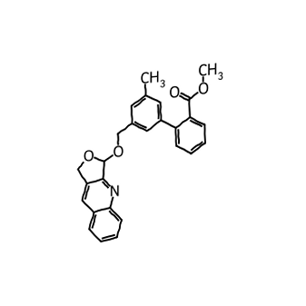 COC(=O)c1ccccc1-c1cc(C)cc(COC2OCc3cc4ccccc4nc32)c1